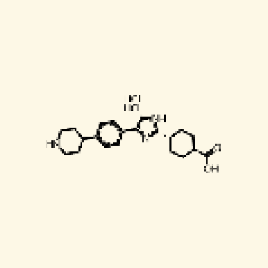 Cl.Cl.O=C(O)[C@H]1CC[C@H](c2nc(-c3ccc(C4CCNCC4)cc3)c[nH]2)CC1